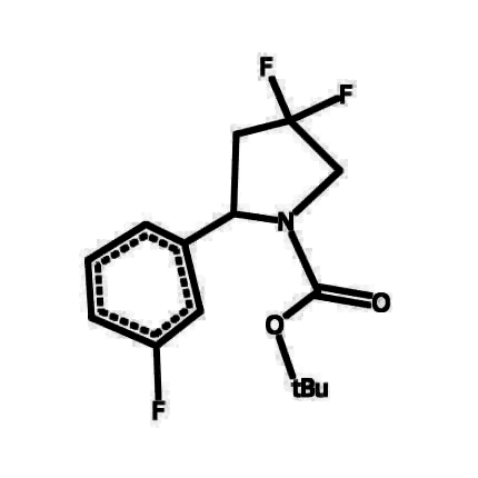 CC(C)(C)OC(=O)N1CC(F)(F)CC1c1cccc(F)c1